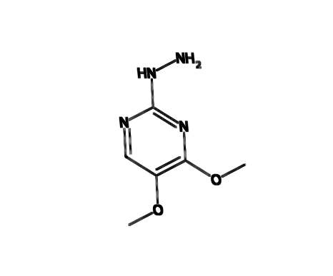 COc1cnc(NN)nc1OC